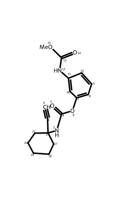 C#CC1(NC(=O)Oc2cccc(NC(=O)OC)c2)CCCCC1